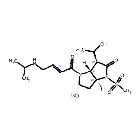 CC(C)NC/C=C/C(=O)N1CC[C@H]2[C@H]1[C@@H](C(C)C)C(=O)N2S(C)(=O)=O.Cl